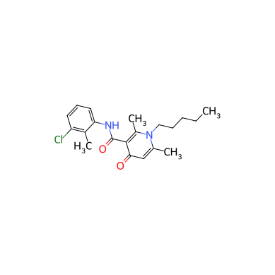 CCCCCn1c(C)cc(=O)c(C(=O)Nc2cccc(Cl)c2C)c1C